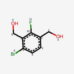 OCc1ccc(Br)c(CO)c1F